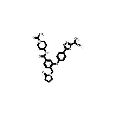 CC(=O)N1CCC(NC(=O)c2ccc(CN3CCCC3=O)c(Oc3ccc(-c4nnc(C(C)C)s4)cc3)c2)CC1